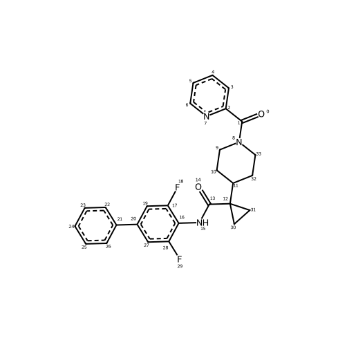 O=C(c1ccccn1)N1CCC(C2(C(=O)Nc3c(F)cc(-c4ccccc4)cc3F)CC2)CC1